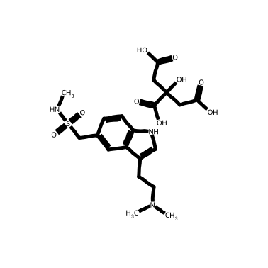 CNS(=O)(=O)Cc1ccc2[nH]cc(CCN(C)C)c2c1.O=C(O)CC(O)(CC(=O)O)C(=O)O